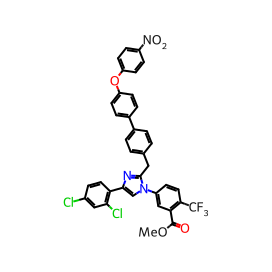 COC(=O)c1cc(-n2cc(-c3ccc(Cl)cc3Cl)nc2Cc2ccc(-c3ccc(Oc4ccc([N+](=O)[O-])cc4)cc3)cc2)ccc1C(F)(F)F